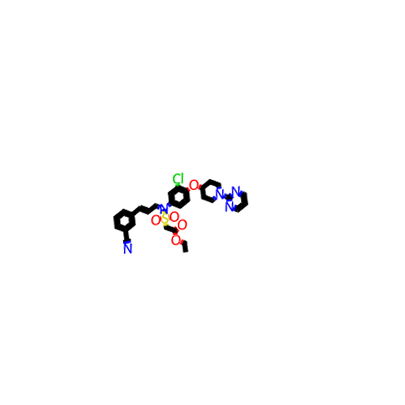 CCOC(=O)CS(=O)(=O)N(C/C=C/c1cccc(C#N)c1)c1ccc(OC2CCN(c3ncccn3)CC2)c(Cl)c1